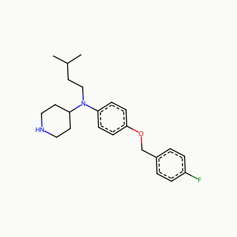 CC(C)CCN(c1ccc(OCc2ccc(F)cc2)cc1)C1CCNCC1